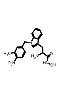 Cc1cc(Cn2cc(CC(N)C(=O)NO)c3ccccc32)ccc1[N+](=O)[O-]